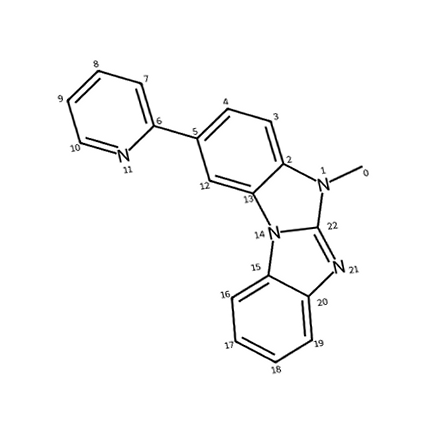 Cn1c2ccc(-c3ccccn3)cc2n2c3ccccc3nc12